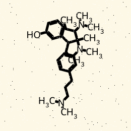 CCC(c1cccc(O)c1)C(C)(C(CC)N(C)C)N(C)c1cccc(CCCN(C)C)c1